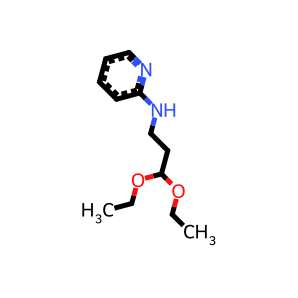 CCOC(CCNc1ccccn1)OCC